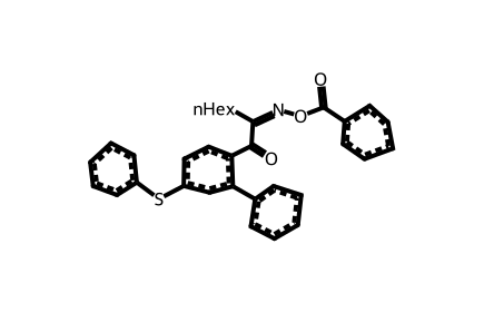 CCCCCCC(=NOC(=O)c1ccccc1)C(=O)c1ccc(Sc2ccccc2)cc1-c1ccccc1